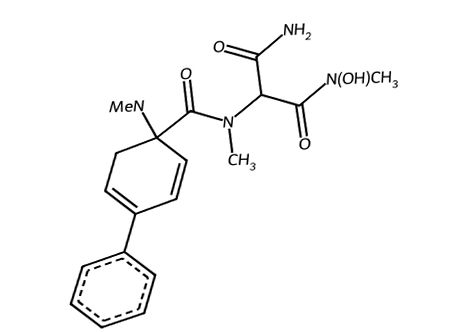 CNC1(C(=O)N(C)C(C(N)=O)C(=O)N(C)O)C=CC(c2ccccc2)=CC1